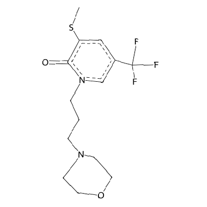 CSc1cc(C(F)(F)F)cn(CCCN2CCOCC2)c1=O